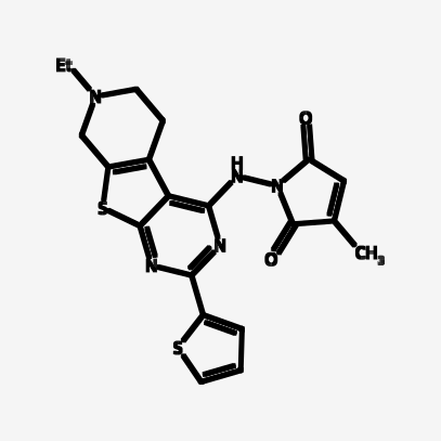 CCN1CCc2c(sc3nc(-c4cccs4)nc(NN4C(=O)C=C(C)C4=O)c23)C1